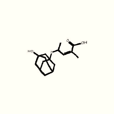 CC(=CC(C)OC12CC3CC(CC(O)(C3)C1)C2)C(=O)O